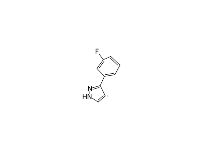 Fc1cccc(-c2[c]c[nH]n2)c1